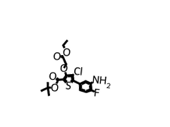 CCOC(=O)COc1c(C(=O)OC(C)(C)C)sc(-c2ccc(F)c(N)c2)c1Cl